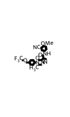 COc1ccc(NC(=O)c2cnn3c2C(=O)N(c2ccc(COCC(F)(F)F)cc2)[C@@H](C)C3)cc1C#N